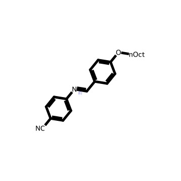 CCCCCCCCOc1ccc(/C=N/c2ccc(C#N)cc2)cc1